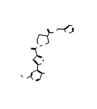 COc1cc(-c2cc(C(=O)N3CCC(C(=O)NCc4cnco4)CC3)n[nH]2)c(Cl)cn1